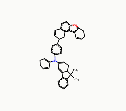 CC1(C)c2ccccc2C2=CC(N(C3=CCCC=C3)c3ccc(C4C=Cc5ccc6oc7c(c6c5C4)C=CCC7)cc3)=CCC21